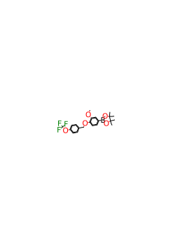 COc1cc(B2OC(C)(C)C(C)(C)O2)ccc1OCc1ccc(OC(F)(F)F)cc1